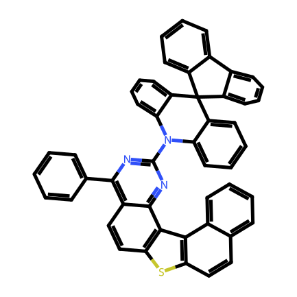 c1ccc(-c2nc(N3c4ccccc4C4(c5ccccc5-c5ccccc54)c4ccccc43)nc3c2ccc2sc4ccc5ccccc5c4c23)cc1